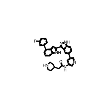 O=C(CC1CCNCC1)Nc1cncc(-c2ccc3[nH]nc(-c4cc5c(-c6cccc(F)c6)cccc5[nH]4)c3c2)c1